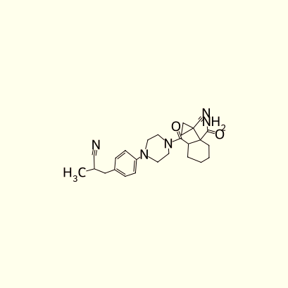 CC(C#N)Cc1ccc(N2CCN(C(=O)C3CCCCC3(C(N)=O)C3(C#N)CC3)CC2)cc1